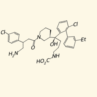 CCc1cccc(-c2c(Cl)cccc2[C@](O)(CCCNC(=O)O)[C@@H]2CCCN(C(=O)CC(CN)c3ccc(Cl)cc3)C2)c1